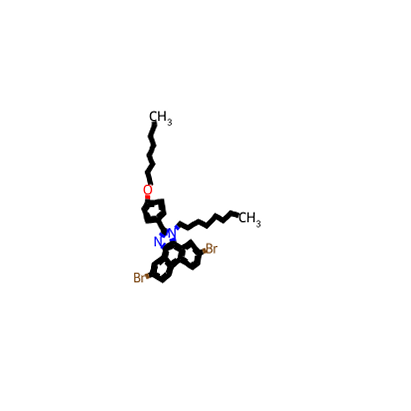 CCCCCCCCOc1ccc(-c2nc3c4cc(Br)ccc4c4ccc(Br)cc4c3n2CCCCCCCC)cc1